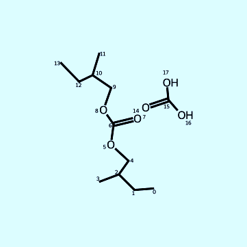 CCC(C)COC(=O)OCC(C)CC.O=C(O)O